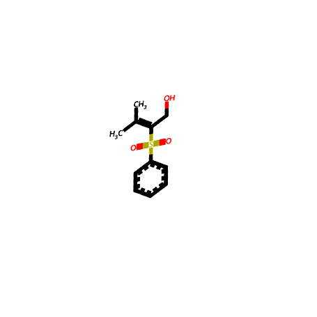 CC(C)=C(CO)S(=O)(=O)c1ccccc1